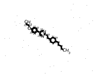 CCCCCC1CCC(CCc2ncc(-c3ccc(OCCC)cc3)cn2)CC1